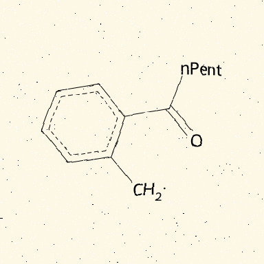 [CH2]c1ccccc1C(=O)CCCCC